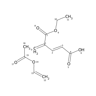 C=C(C=CC(=O)O)C(=O)OCC.C=COC(C)=O